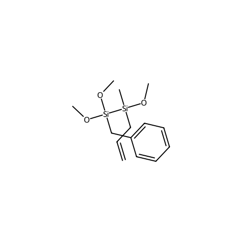 C=CC[Si](C)(OC)[Si](Cc1ccccc1)(OC)OC